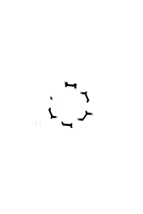 C=C(C)C(=O)OC(C)COC(C)COC(C)COC(C)COCC